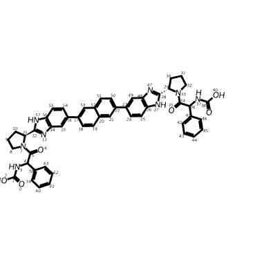 O=C(O)NC(C(=O)N1CCC[C@H]1c1nc2cc(-c3ccc4cc(-c5ccc6[nH]c([C@@H]7CCCN7C(=O)C(NC(=O)O)c7ccccc7)nc6c5)ccc4c3)ccc2[nH]1)c1ccccc1